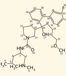 CNCC(CC(C)C)NC(=O)N1CCCC(C(O)(CCCCOC)c2ccccc2-c2cccc(F)c2)C1